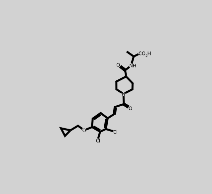 CC(NC(=O)C1CCN(C(=O)/C=C/c2ccc(OCC3CC3)c(Cl)c2Cl)CC1)C(=O)O